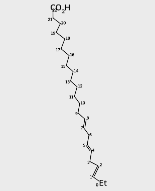 CCC=CCC=CCC=CCCCCCCCCCCCCCC(=O)O